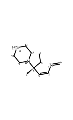 C=N/C=C\[C@@](C)(CC)N1CCNCC1